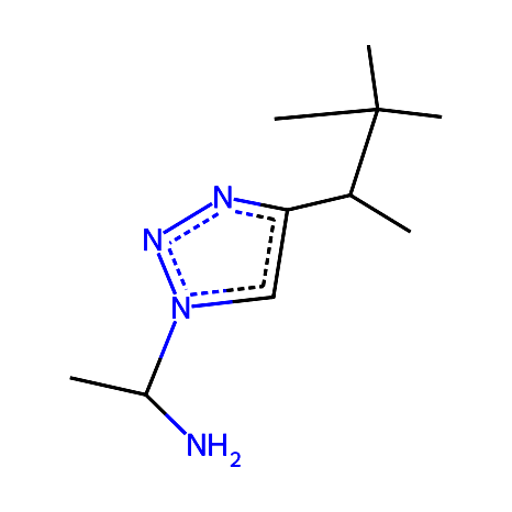 CC(N)n1cc(C(C)C(C)(C)C)nn1